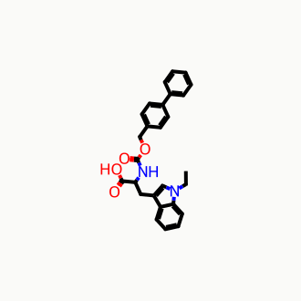 CCn1cc(CC(NC(=O)OCc2ccc(-c3ccccc3)cc2)C(=O)O)c2ccccc21